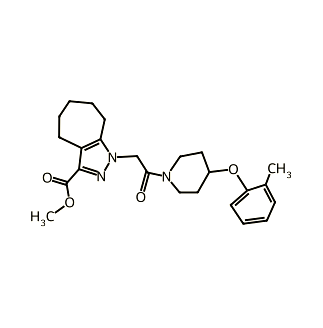 COC(=O)c1nn(CC(=O)N2CCC(Oc3ccccc3C)CC2)c2c1CCCCC2